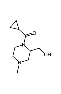 O=C(C1CC1)N1CCN(I)CC1CO